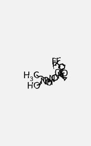 CCCC(CC(=O)N1CCC(N(C2CC2)S(=O)(=O)c2cccc(C(F)(F)F)c2)CC1)NCCO